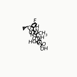 Cc1[nH]c2c(-c3ccc(F)cc3OCC3CC3)ncnc2c1C(=O)N[C@@H]1CN(C(=O)CO)C[C@H]1O